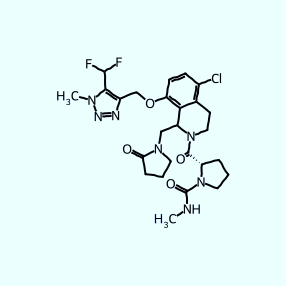 CNC(=O)N1CCC[C@H]1C(=O)N1CCc2c(Cl)ccc(OCc3nnn(C)c3C(F)F)c2C1CN1CCCC1=O